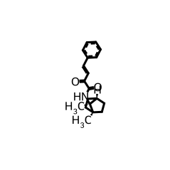 C[C@]1(NC(=O)C(=O)/C=C/c2ccccc2)[C@H]2CC[C@]1(C)CC2